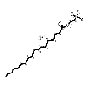 CCCCCCCCCCCCCCCCCC(=O)NCCS(=O)(=O)[O-].[Na+]